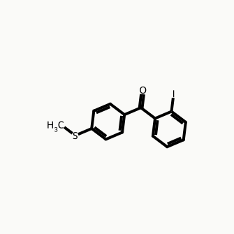 CSc1ccc(C(=O)c2ccccc2I)cc1